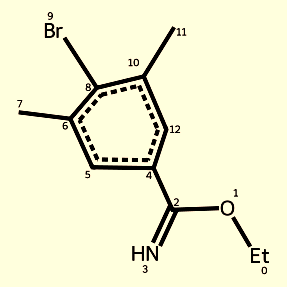 CCOC(=N)c1cc(C)c(Br)c(C)c1